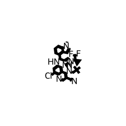 Cn1ccc2c(C(Nc3cc(Cl)c4ncc(C#N)c(NCC(C)(C)C)c4c3)c3cn(C4(C(F)F)CC4)nn3)cccc21